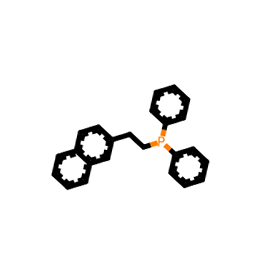 c1ccc(P(CCc2ccc3ccccc3c2)c2ccccc2)cc1